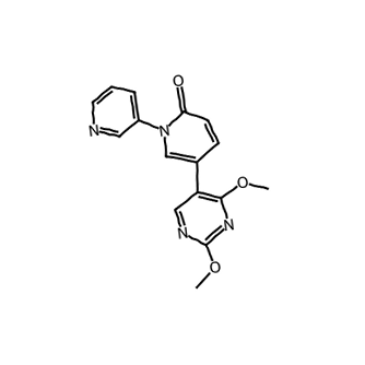 COc1ncc(-c2ccc(=O)n(-c3cccnc3)c2)c(OC)n1